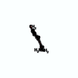 CCCCCCC(=O)Oc1ccc(OC(=O)C=Cc2ccc(C(=O)OCCCCCCCCCCCOC(=O)c3cc(N)cc(N)c3)cc2)cc1